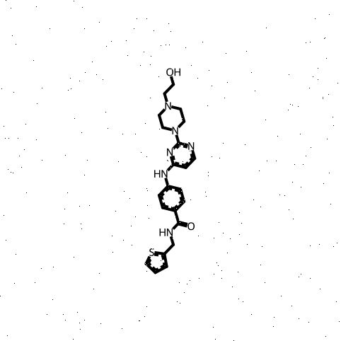 O=C(NCc1cccs1)c1ccc(Nc2ccnc(N3CCN(CCO)CC3)n2)cc1